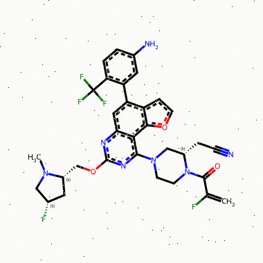 C=C(F)C(=O)N1CCN(c2nc(OC[C@@H]3C[C@H](F)CN3C)nc3cc(-c4cc(N)ccc4C(F)(F)F)c4ccoc4c23)C[C@@H]1CC#N